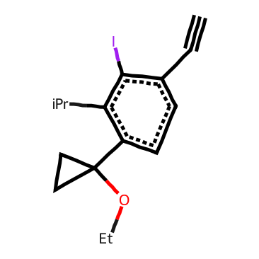 C#Cc1ccc(C2(OCC)CC2)c(C(C)C)c1I